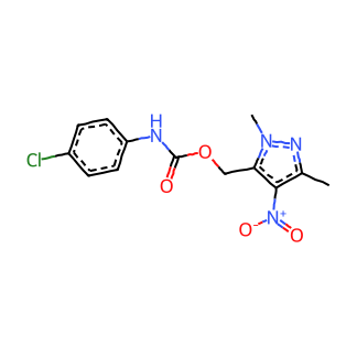 Cc1nn(C)c(COC(=O)Nc2ccc(Cl)cc2)c1[N+](=O)[O-]